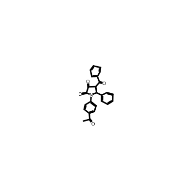 CC(=O)c1ccc(N2C(=O)C(=O)C(C(=O)c3ccccc3)C2c2ccccc2)cc1